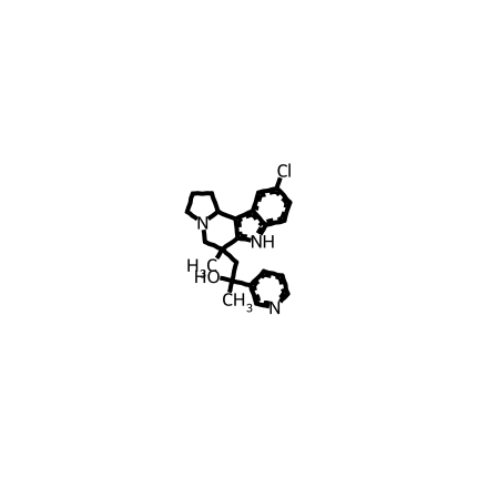 CC(O)(CC1(C)CN2CCCC2c2c1[nH]c1ccc(Cl)cc21)c1cccnc1